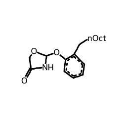 CCCCCCCCCc1ccccc1OC1NC(=O)CO1